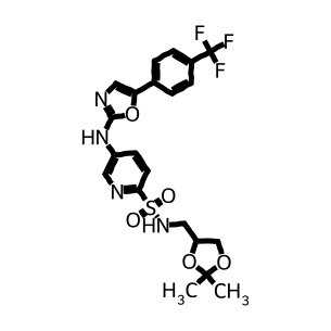 CC1(C)OCC(CNS(=O)(=O)c2ccc(Nc3ncc(-c4ccc(C(F)(F)F)cc4)o3)cn2)O1